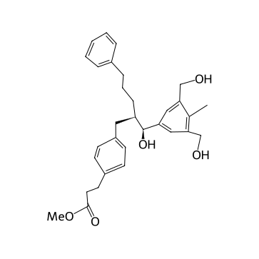 COC(=O)CCc1ccc(C[C@@H](CCCc2ccccc2)[C@H](O)c2cc(CO)c(C)c(CO)c2)cc1